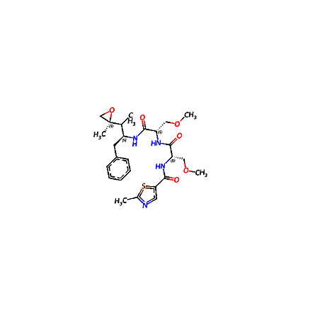 COC[C@H](NC(=O)c1cnc(C)s1)C(=O)N[C@@H](COC)C(=O)N[C@@H](Cc1ccccc1)C(C)[C@@]1(C)CO1